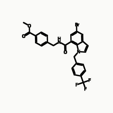 COC(=O)c1ccc(CNC(=O)c2cc(Br)cc3ccn(Cc4ccc(C(F)(F)F)cc4)c23)cc1